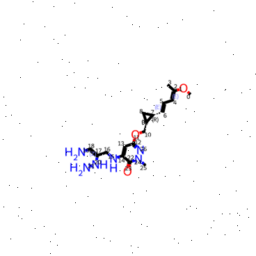 CO/C(C)=C/C=C/[C@H]1C[C@@H]1COc1cc(NC/C(=C/N)NN)c(=O)n(C)n1